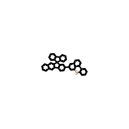 c1ccc2c(c1)Sc1cc(-c3ccc4c(c3)C3(c5ccccc5-c5ccccc53)c3cc5ccccc5cc3-4)cc3cccc-2c13